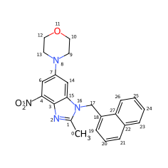 Cc1nc2c([N+](=O)[O-])cc(N3CCOCC3)cc2n1Cc1cccc2ccccc12